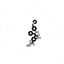 CC[C@@H](C)NC(=O)c1ccc2c(c1)NC(=O)/C2=C(\Nc1ccc(CN2CCCC2)cc1)c1ccccc1